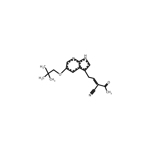 CC(=O)/C(C#N)=C/Cc1c[nH]c2ncc(OCC(C)(C)C)cc12